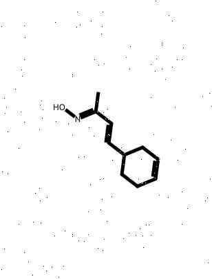 CC(C=CC1CC=CCC1)=NO